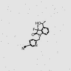 C[C@H](O)c1cccc2c1C(F)(F)C(=O)N2Cc1ccc(C#N)cn1